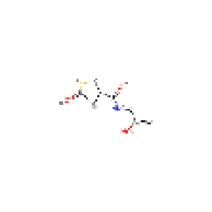 C[C@@H](O)CNC(=O)C1CSC(=O)C1